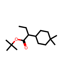 CCC(C(=O)OC(C)(C)C)C1CCC(C)(C)CC1